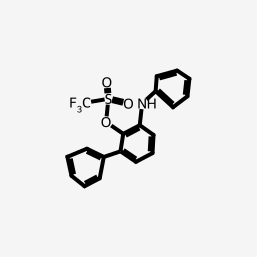 O=S(=O)(Oc1c(Nc2ccccc2)cccc1-c1ccccc1)C(F)(F)F